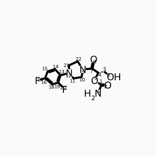 NC(=O)O[C@@H](CO)C(=O)N1CCN(c2ccc(F)cc2F)CC1